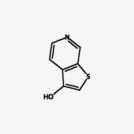 Oc1csc2cnccc12